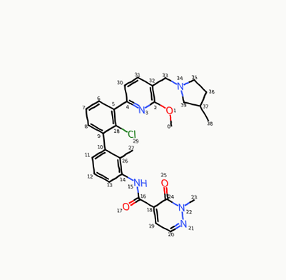 COc1nc(-c2cccc(-c3cccc(NC(=O)c4ccnn(C)c4=O)c3C)c2Cl)ccc1CN1CCC(C)C1